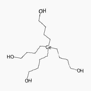 OCCC[CH2][Ge]([CH2]CCCO)([CH2]CCCO)[CH2]CCCO